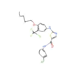 CCCCCOc1ccc(Nc2ncc(C(=O)Nc3ccc(Cl)cc3)s2)cc1C(F)(F)F